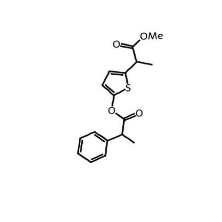 COC(=O)C(C)c1ccc(OC(=O)C(C)c2ccccc2)s1